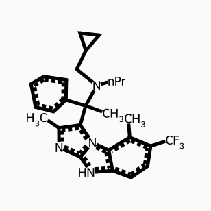 CCCN(CC1CC1)C(C)(c1ccccc1)c1c(C)nc2[nH]c3ccc(C(F)(F)F)c(C)c3n12